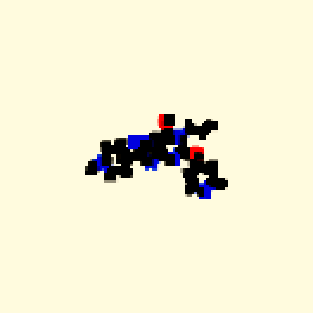 CCCn1c(Oc2ccncc2)nc2nc(C3CCN(C)CC3)[nH]c2c1=O